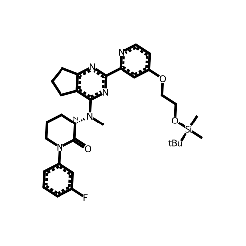 CN(c1nc(-c2cc(OCCO[Si](C)(C)C(C)(C)C)ccn2)nc2c1CCC2)[C@H]1CCCN(c2cccc(F)c2)C1=O